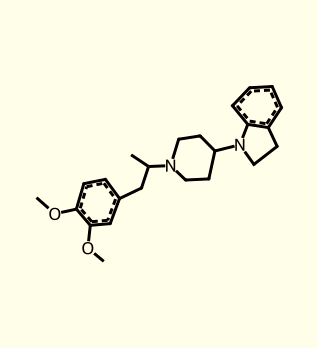 COc1ccc(CC(C)N2CCC(N3CCc4ccccc43)CC2)cc1OC